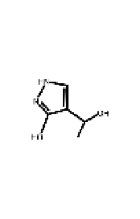 CC(O)c1c[nH]nc1O